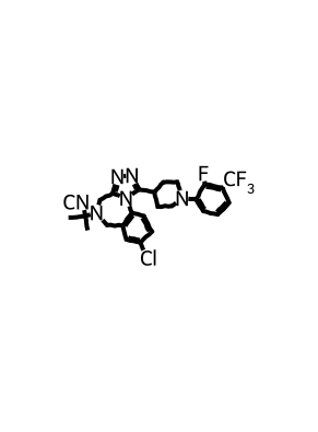 CC(C)(C#N)N1Cc2cc(Cl)ccc2-n2c(nnc2C2CCN(c3cccc(C(F)(F)F)c3F)CC2)C1